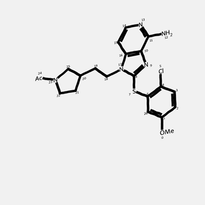 COc1ccc(Cl)c(Sc2nc3c(N)nccc3n2CCC2CCN(C(C)=O)C2)c1